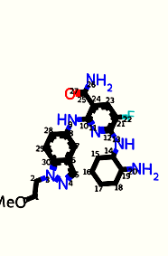 COCCn1ncc2cc(Nc3nc(NC4CCCCC4N)c(F)cc3C(N)=O)ccc21